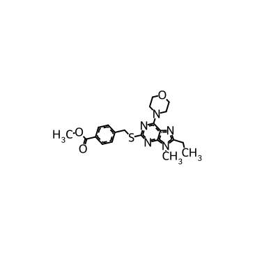 CCc1nc2c(N3CCOCC3)nc(SCc3ccc(C(=O)OC)cc3)nc2n1C